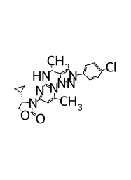 Cc1cc(N2C(=O)OC[C@@H]2C2CC2)nc(N[C@H](C)c2cn(-c3ccc(Cl)cc3)nn2)n1